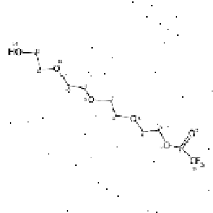 O=C(OCCOCCOCCOCCO)C(F)(F)F